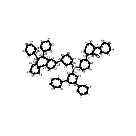 c1ccc(-c2cc(-c3ccccc3)cc(N(c3cccc(-c4ccc5c(c4)c(-c4ccccc4)c(-c4ccccc4)c4ccccc45)c3)c3cccc(-c4cccc5c4sc4ccccc45)c3)c2)cc1